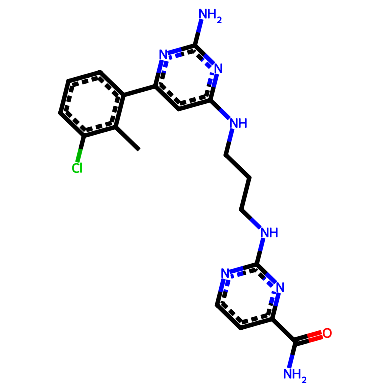 Cc1c(Cl)cccc1-c1cc(NCCCNc2nccc(C(N)=O)n2)nc(N)n1